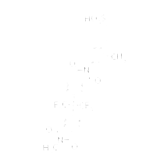 Cc1cc(N2C(=O)c3ccc(C(c4ccc5c(c4)C(=O)N(C)C5=O)(C(F)(F)F)C(F)(F)F)cc3C2=O)ccc1CCCS(=O)(=O)O